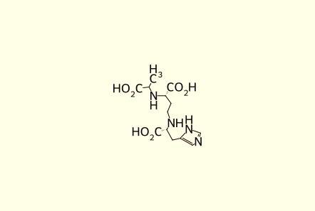 CC(N[C@@H](CCN[C@H](Cc1cnc[nH]1)C(=O)O)C(=O)O)C(=O)O